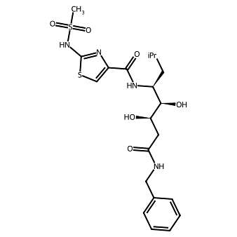 CC(C)C[C@H](NC(=O)c1csc(NS(C)(=O)=O)n1)[C@@H](O)[C@H](O)CC(=O)NCc1ccccc1